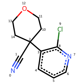 N#CC1(c2cccnc2Cl)CCOCC1